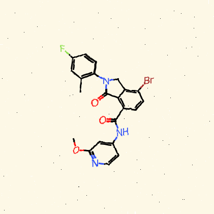 COc1cc(NC(=O)c2ccc(Br)c3c2C(=O)N(c2ccc(F)cc2C)C3)ccn1